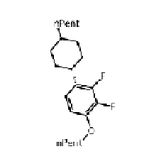 CCCCCOc1ccc([C@H]2CC[C@H](CCCCC)CC2)c(F)c1F